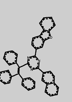 c1ccc(C(=C(c2ccccc2)c2nc(-c3ccc4ccccc4c3)nc(-c3ccc4c(c3)oc3ccccc34)n2)c2ccccc2)cc1